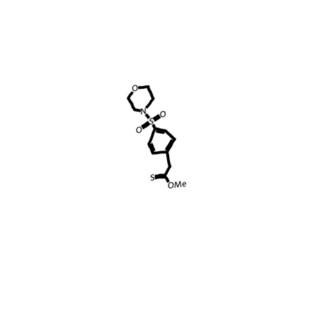 COC(=S)Cc1ccc(S(=O)(=O)N2CCOCC2)cc1